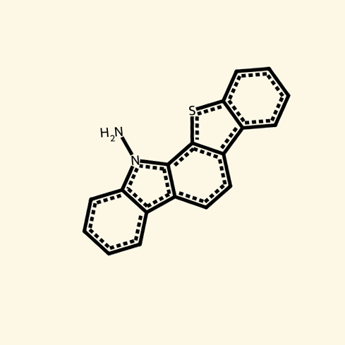 Nn1c2ccccc2c2ccc3c4ccccc4sc3c21